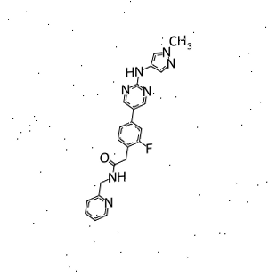 Cn1cc(Nc2ncc(-c3ccc(CC(=O)NCc4ccccn4)c(F)c3)cn2)cn1